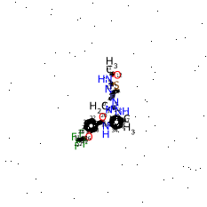 C=N/C(=N\C=C1/CSC(NC(C)=O)=N1)Nc1cc(NC(=O)c2cccc(OC(F)(F)C(F)F)c2)ccc1C